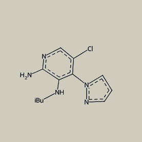 CCC(C)Nc1c(N)ncc(Cl)c1-n1cccn1